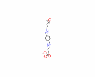 CO[Si](C)(C)CCC/N=C/c1ccc(/C=N/CCC[Si](OC)(OC)OC)cc1